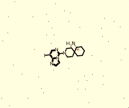 N[C@@H]1CCCCC12CCN(c1ncc(I)c3nccn13)CC2